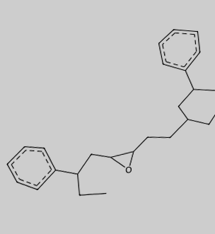 CCC(CCC1OC1CC(CC)c1ccccc1)CC(C)c1ccccc1